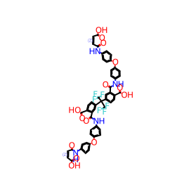 O=C(O)/C=C\C(=O)Nc1ccc(Oc2ccc(NC(=O)c3cc(C(c4ccc(C(=O)O)c(C(=O)Nc5ccc(Oc6ccc(NC(=O)/C=C\C(=O)O)cc6)cc5)c4)(C(F)(F)F)C(F)(F)F)ccc3C(=O)O)cc2)cc1